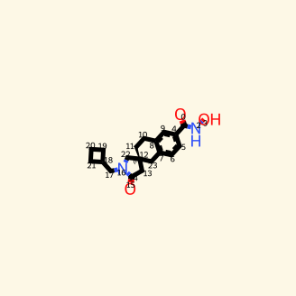 O=C(NO)c1ccc2c(c1)CC[C@]1(CC(=O)N(CC3CCC3)C1)C2